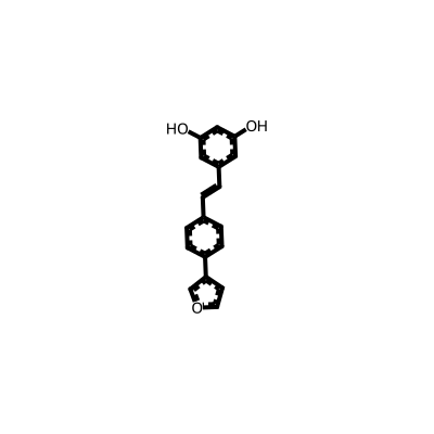 Oc1cc(O)cc(/C=C/c2ccc(-c3ccoc3)cc2)c1